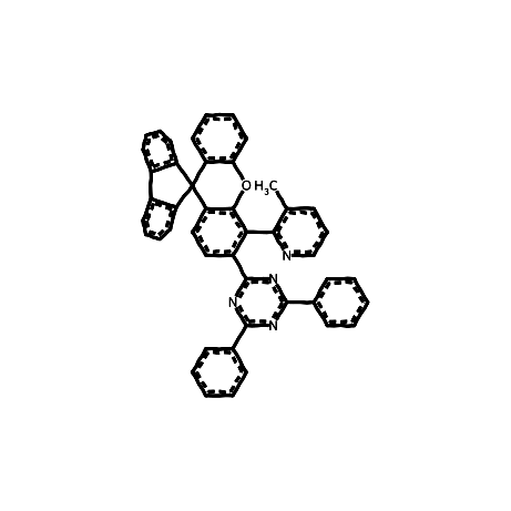 Cc1cccnc1-c1c(-c2nc(-c3ccccc3)nc(-c3ccccc3)n2)ccc2c1Oc1ccccc1C21c2ccccc2-c2ccccc21